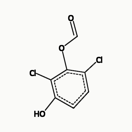 O=COc1c(Cl)ccc(O)c1Cl